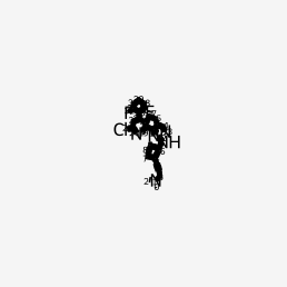 CN(C)CC#Cc1cccc(Nc2ncc3c(n2)C2=CN=C(Cl)C=C(c4c(F)cccc4F)C2=CC3)c1